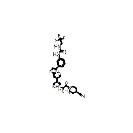 CC(N/C=C(\C=N)c1cnn2c(-c3cccc(NC(=O)NCC(F)(F)F)c3)cnc2c1)C(=O)N1CCC(C#N)CC1